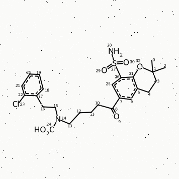 CC1(C)CCc2cc(C(=O)CCCCN(CCc3ccccc3Cl)C(=O)O)cc(S(N)(=O)=O)c2O1